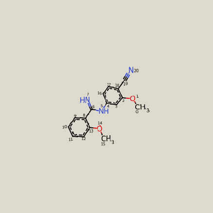 COc1cc(NC(=N)c2ccccc2OC)ccc1C#N